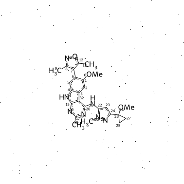 COc1cc2c(cc1-c1c(C)noc1C)[nH]c1nc(C)nc(Nc3cc(C4(OC)CC4)nn3C)c12